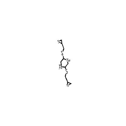 C1SC1CSC1C[Te]C(SCC2CS2)C[Te]1